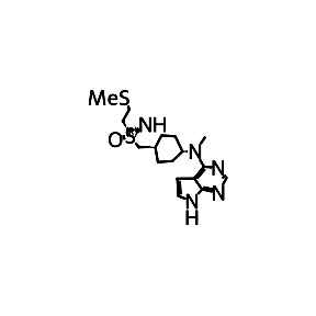 CSCC[S@](=N)(=O)C[C@H]1CC[C@H](N(C)c2ncnc3[nH]ccc23)CC1